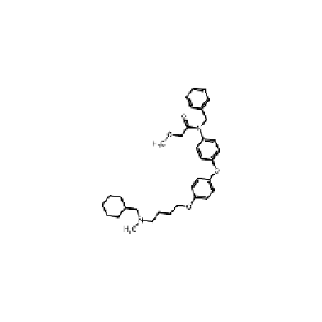 COCC(=O)N(Cc1ccccc1)c1ccc(Oc2ccc(OCCCCN(C)CC3CCCCC3)cc2)cc1